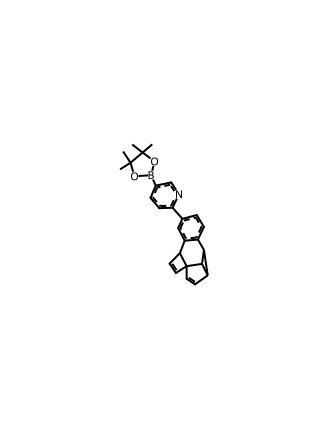 CC1(C)OB(c2ccc(-c3ccc4c(c3)C3C=CC35C=CC3C4C35)nc2)OC1(C)C